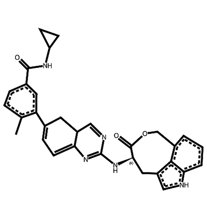 Cc1ccc(C(=O)NC2CC2)cc1C1=CC=C2N=C(N[C@@H]3Cc4c[nH]c5cccc(c45)COC3=O)N=CC2C1